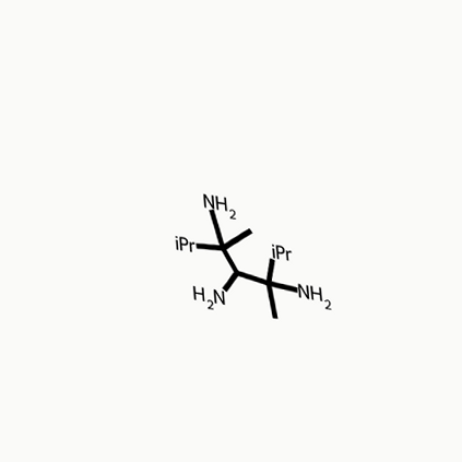 CC(C)C(C)(N)C(N)C(C)(N)C(C)C